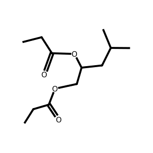 CCC(=O)OCC(CC(C)C)OC(=O)CC